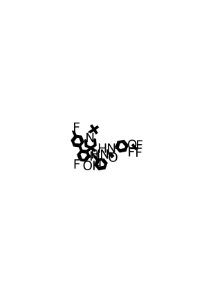 CC(C)(C)CN1CCC2(CC1)CN(c1ccccc1NC(=O)Nc1ccc(OC(F)(F)F)cc1)c1c(O)c(F)cc(-c3ccc(CF)cc3)c12